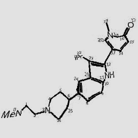 CNCCN1CCC(c2ccc3[nH]c(-c4ccc(=O)n(C)c4)c(C(C)C)c3c2)CC1